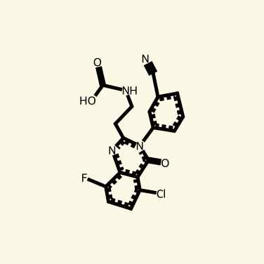 N#Cc1cccc(-n2c(CCNC(=O)O)nc3c(F)ccc(Cl)c3c2=O)c1